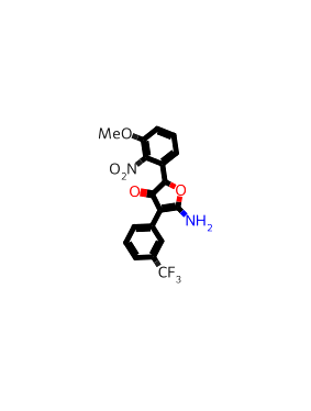 COc1cccc(C2OC(N)=C(c3cccc(C(F)(F)F)c3)C2=O)c1[N+](=O)[O-]